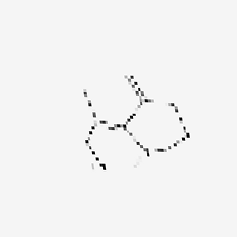 C=C1CCCN2CNCC(C)=C12